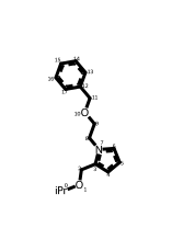 CC(C)OCc1cccn1CCOCc1ccccc1